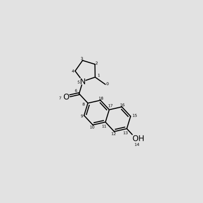 CC1CCCN1C(=O)c1ccc2cc(O)ccc2c1